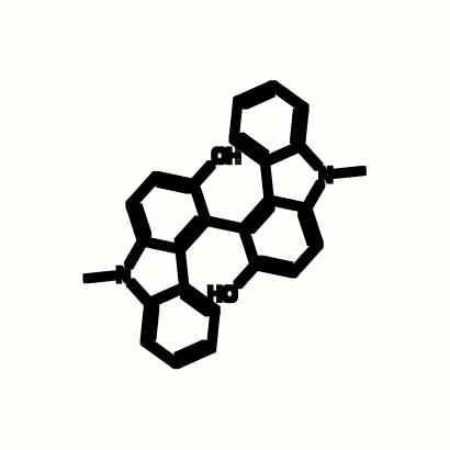 Cn1c2ccccc2c2c(-c3c(O)ccc4c3c3ccccc3n4C)c(O)ccc21